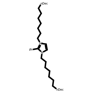 CCCCCCCCCCCCCCCCCn1cc[n+](CCCCCCCCCCCCCCCCC)c1C(C)C